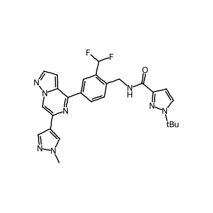 Cn1cc(-c2cn3nccc3c(-c3ccc(CNC(=O)c4ccn(C(C)(C)C)n4)c(C(F)F)c3)n2)cn1